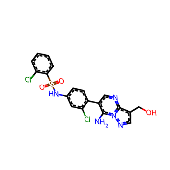 Nc1c(-c2ccc(NS(=O)(=O)c3ccccc3Cl)cc2Cl)cnc2c(CO)cnn12